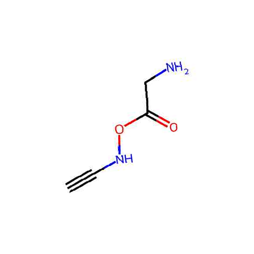 C#CNOC(=O)CN